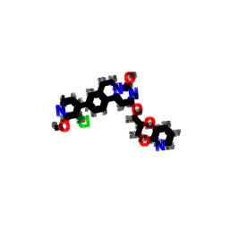 COc1nccc(-c2ccc3c(c2)CCn2c-3cc(OCC3COc4ncccc4O3)nc2=O)c1Cl